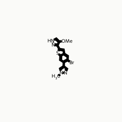 COc1c[nH]nc1-c1cc2cc(Br)c(-c3cnn(C)c3)cc2s1